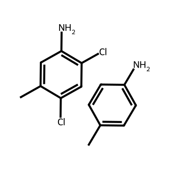 Cc1cc(N)c(Cl)cc1Cl.Cc1ccc(N)cc1